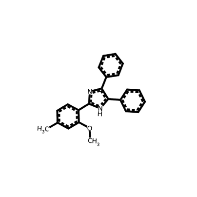 COc1cc(C)ccc1-c1nc(-c2ccccc2)c(-c2ccccc2)[nH]1